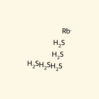 S.S.S.S.S.[Rb]